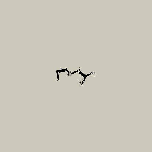 C/C=C\NN=C(N)N